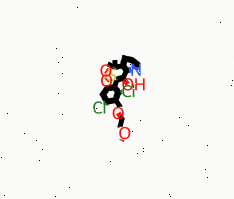 COCCOCc1c(Cl)ccc(C2=C(O)c3ncccc3C(C)(C)S2(=O)=O)c1Cl